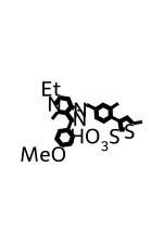 CCc1cc2c(c(C)n1)c(-c1ccc(OC)cc1)nn2Cc1ccc(-c2cc(C)sc2S(=O)(=O)O)c(C)c1